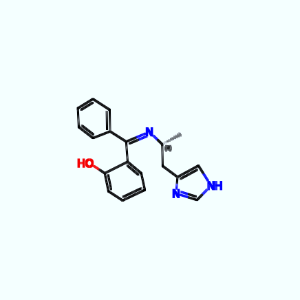 C[C@H](Cc1c[nH]cn1)N=C(c1ccccc1)c1ccccc1O